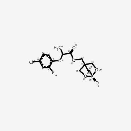 CC(Oc1ccc(Cl)cc1F)C(=O)OCC12COP(=O)(OC1)OC2